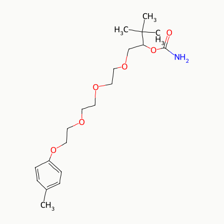 Cc1ccc(OCCOCCOCCOCC(OC(N)=O)C(C)(C)C)cc1